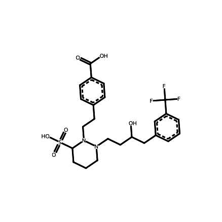 O=C(O)c1ccc(CCN2C(S(=O)(=O)O)CCCN2CCC(O)Cc2cccc(C(F)(F)F)c2)cc1